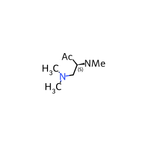 CN[C@@H](CN(C)C)C(C)=O